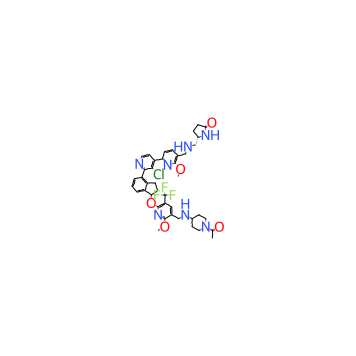 COc1nc(-c2ccnc(-c3cccc4c3CC[C@H]4Oc3nc(OC)c(CNC4CCN(C(C)=O)CC4)cc3C(F)(F)F)c2Cl)ccc1CNC[C@@H]1CCC(=O)N1